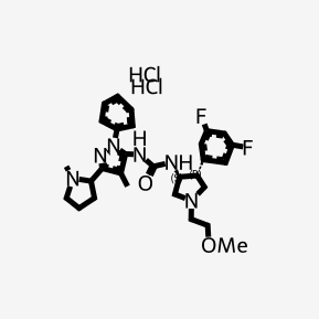 COCCN1C[C@@H](NC(=O)Nc2c(C)c(C3CCCN3C)nn2-c2ccccc2)[C@H](c2cc(F)cc(F)c2)C1.Cl.Cl